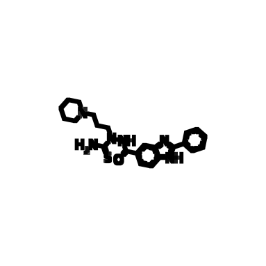 NC(=S)N(CCCN1CCCCC1)NC(=O)c1ccc2[nH]c(-c3ccccc3)nc2c1